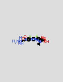 N=C(N)NCC1CN(c2ccc(N3CCN(c4nc5c(cc4F)c(=O)c(C(=O)O)cn5C4CC4)CC3)c(F)c2)C(=O)O1